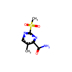 Cc1cnc(S(C)(=O)=O)nc1C(N)=O